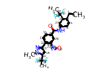 CCc1ccc(NC(=O)c2ccc(-c3cc(C(C)(F)F)n(C)n3)c(N=O)c2)cc1C(C)(F)F